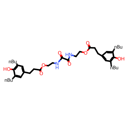 CCCCc1cc(CCC(=O)OCCNC(=O)C(=O)NCCOC(=O)CCc2cc(CCCC)c(O)c(CCCC)c2)cc(CCCC)c1O